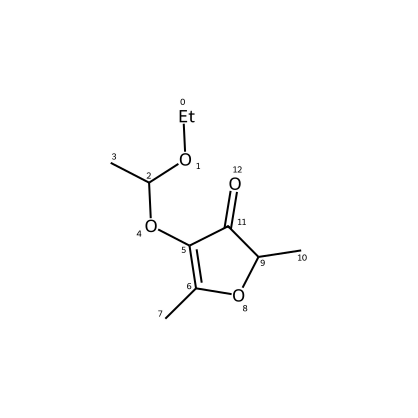 CCOC(C)OC1=C(C)OC(C)C1=O